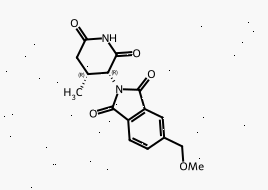 COCc1ccc2c(c1)C(=O)N([C@H]1C(=O)NC(=O)C[C@H]1C)C2=O